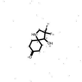 O=C1CCC2(CC1)NCC(F)(F)C2O